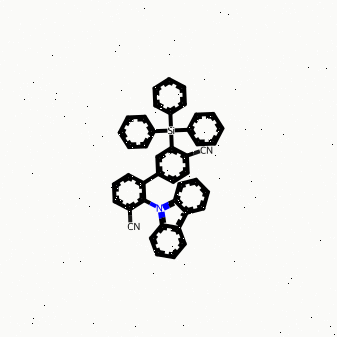 N#Cc1ccc(-c2cccc(C#N)c2-n2c3ccccc3c3ccccc32)cc1[Si](c1ccccc1)(c1ccccc1)c1ccccc1